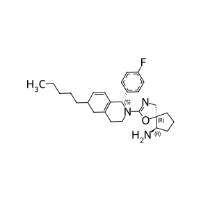 CCCCCC1C=CC2=C(CCN(C3=NC[C@@]4(CCC[C@H]4N)O3)[C@H]2c2ccc(F)cc2)C1